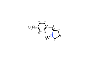 CN1CCCC1=Cc1ccc([N+](=O)[O-])cc1